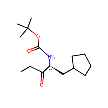 CCC(=O)[C@H](CC1CCCC1)NC(=O)OC(C)(C)C